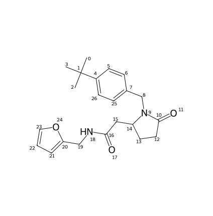 CC(C)(C)c1ccc(CN2C(=O)CCC2CC(=O)NCc2ccco2)cc1